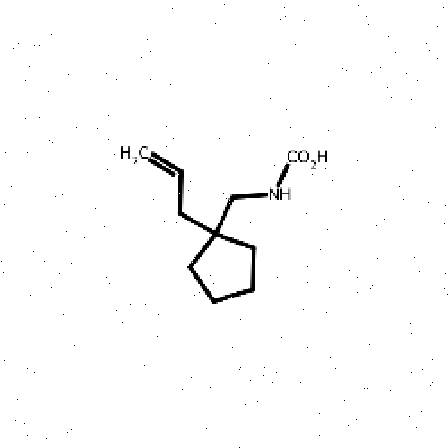 C=CCC1(CNC(=O)O)CCCC1